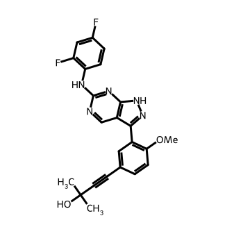 COc1ccc(C#CC(C)(C)O)cc1-c1n[nH]c2nc(Nc3ccc(F)cc3F)ncc12